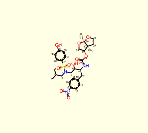 CC(C)CN(C[C@@H](O)[C@H](Cc1ccc([N+](=O)[O-])cc1)NC(=O)O[C@H]1CO[C@H]2OCC[C@H]21)S(=O)(=O)c1ccc(O)cc1